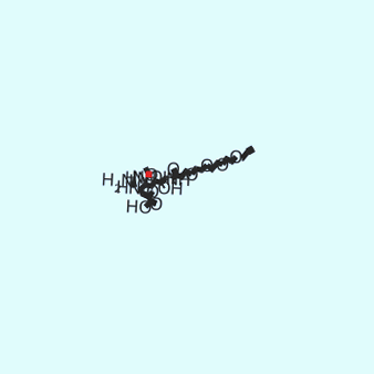 C#CCOCCOCCOCCOCCC(=O)NC[C@@H](O)[C@@H](O)[C@@H]1OC(C(=O)O)=C[C@H](NC(=N)N)[C@H]1NC(C)=O